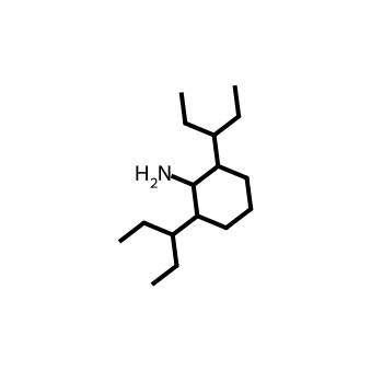 CCC(CC)C1CCCC(C(CC)CC)C1N